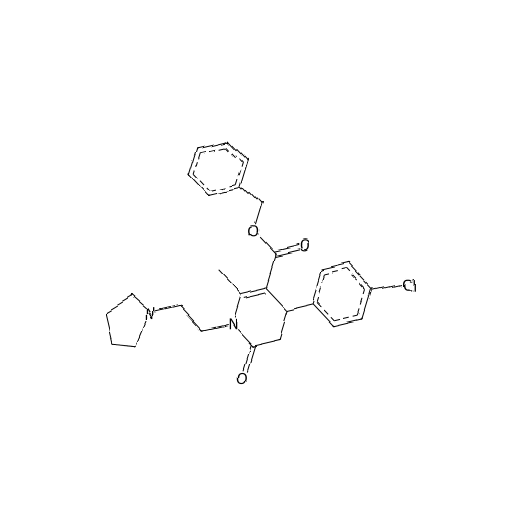 CC1=C(C(=O)OCc2ccccc2)C(c2ccc(Cl)cc2)CC(=O)N1CCN1CCCC1